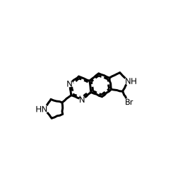 BrC1NCc2cc3cnc(C4CCNC4)nc3cc21